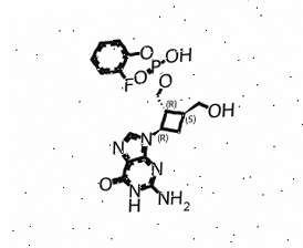 Nc1nc2c(ncn2[C@@H]2C[C@H](CO)[C@H]2COP(=O)(O)Oc2ccccc2F)c(=O)[nH]1